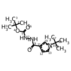 CC(C)(C)OC(=O)NNC(=O)c1ccn(C(C)(C)C)c1